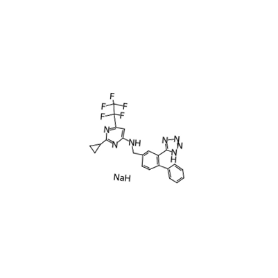 FC(F)(F)C(F)(F)c1cc(NCc2ccc(-c3ccccc3)c(-c3nnn[nH]3)c2)nc(C2CC2)n1.[NaH]